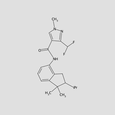 CC(C)C1Cc2c(NC(=O)c3cn(C)nc3C(F)F)cccc2C1(C)C